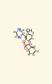 Cc1ccc2c(oc3oc4ccccc4c32)c1-c1cnccn1